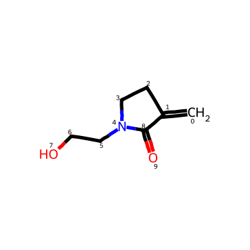 C=C1CCN(CCO)C1=O